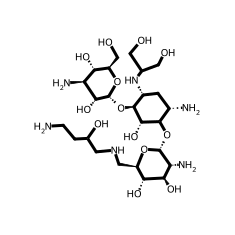 NCCC(O)CNC[C@H]1O[C@H](OC2[C@@H](N)C[C@@H](NC(CO)CO)[C@H](O[C@H]3O[C@H](CO)[C@@H](O)[C@H](N)[C@H]3O)[C@H]2O)[C@H](N)[C@@H](O)[C@@H]1O